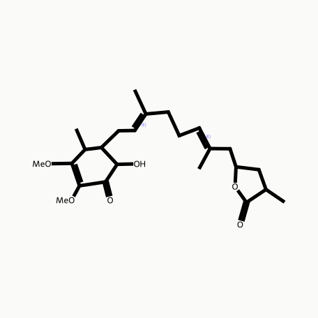 COC1=C(OC)C(C)C(C/C=C(\C)CC/C=C(\C)CC2CC(C)C(=O)O2)C(O)C1=O